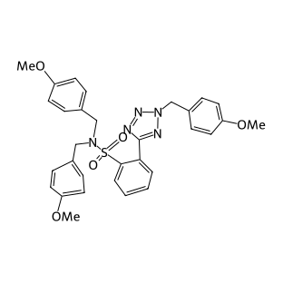 COc1ccc(CN(Cc2ccc(OC)cc2)S(=O)(=O)c2ccccc2-c2nnn(Cc3ccc(OC)cc3)n2)cc1